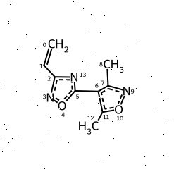 C=Cc1noc(-c2c(C)noc2C)n1